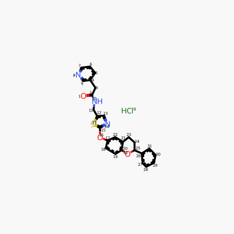 Cl.O=C(Cc1cccnc1)NCc1cnc(Oc2ccc3c(c2)CCC(c2ccccc2)O3)s1